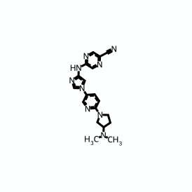 CN(C)C1CCN(c2ccc(-n3cnc(Nc4cnc(C#N)cn4)c3)cn2)C1